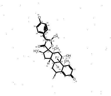 C[C@@H]1C[C@H]2[C@@H]3C[C@H](F)C4=CC(=O)C=C[C@]4(C)[C@@]3(F)[C@@H](O)C[C@]2(C)[C@@]1(ON(C)Cc1ccc(Cl)cc1)C(=O)NCC#N